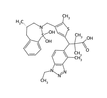 CCn1nnc2c(C)c(C(c3cc(CN4C[C@@H](C)Cc5ccccc5S4(O)O)c(C)s3)C(C)(C)C(=O)O)ccc21